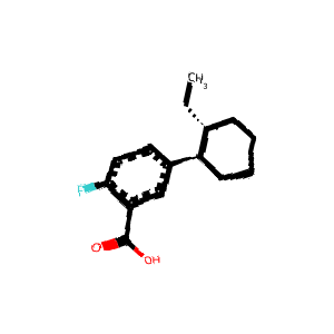 CC[C@@H]1CCCC[C@H]1c1ccc(F)c(C(=O)O)c1